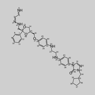 N=C/C=N\NC[C@@]1(c2ccccc2)OC[C@@H](COc2ccc(NCCNc3ccc(-n4cnn(CC5CCCC5)c4=O)cc3)cc2)O1